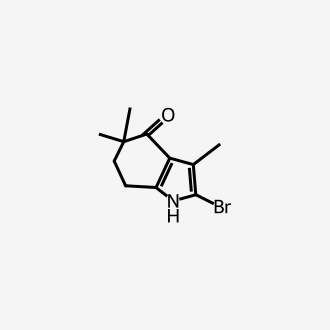 Cc1c(Br)[nH]c2c1C(=O)C(C)(C)CC2